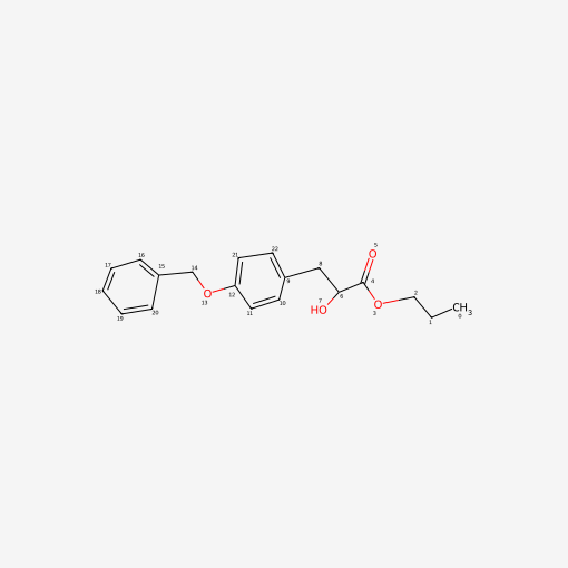 CCCOC(=O)C(O)Cc1ccc(OCc2ccccc2)cc1